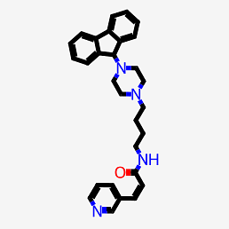 O=C(/C=C\c1cccnc1)NCCCCN1CCN(C2c3ccccc3-c3ccccc32)CC1